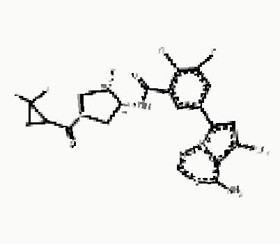 Nc1ncnn2c(-c3cc(F)c(Cl)c(C(=O)N[C@@H]4CN(C(=O)C5CC5(F)F)C[C@@H]4F)c3)cc(C(F)(F)F)c12